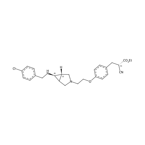 CCOC(=O)[C@H](C#N)Cc1ccc(OCCN2CC3[C@@H](C2)[C@@H]3NCc2ccc(Cl)cc2)cc1